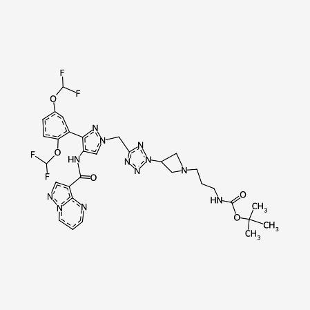 CC(C)(C)OC(=O)NCCCN1CC(n2nnc(Cn3cc(NC(=O)c4cnn5cccnc45)c(-c4cc(OC(F)F)ccc4OC(F)F)n3)n2)C1